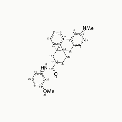 CNc1ncc2c(n1)-c1ccccc1C1(CCN(C(=O)Nc3cccc(OC)c3)CC1)C2